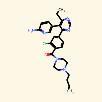 CCCCN1CCN(C(=O)c2ccc(-c3ncnc(CC)c3-c3ccc(N)nc3)cc2Cl)CC1